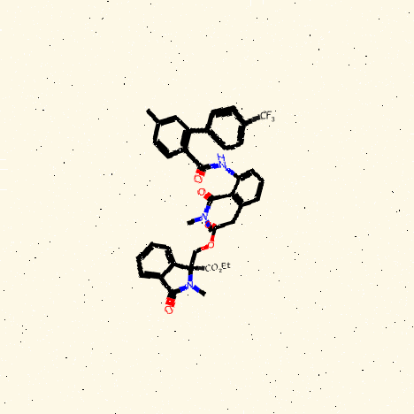 CCOC(=O)C1(COC(=O)Cc2cccc(NC(=O)c3ccc(C)cc3-c3ccc(C(F)(F)F)cc3)c2C(=O)N(C)C)c2ccccc2C(=O)N1C